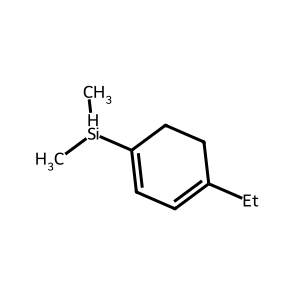 CCC1=CC=C([SiH](C)C)CC1